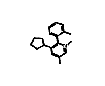 Cc1cc(C2CCCC2)c(-c2ccccc2C)[n+](C)c1